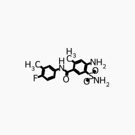 Cc1cc(NC(=O)c2cc(S(N)(=O)=O)c(N)cc2C)ccc1F